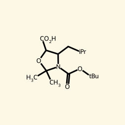 CC(C)CC1C(C(=O)O)OC(C)(C)N1C(=O)OC(C)(C)C